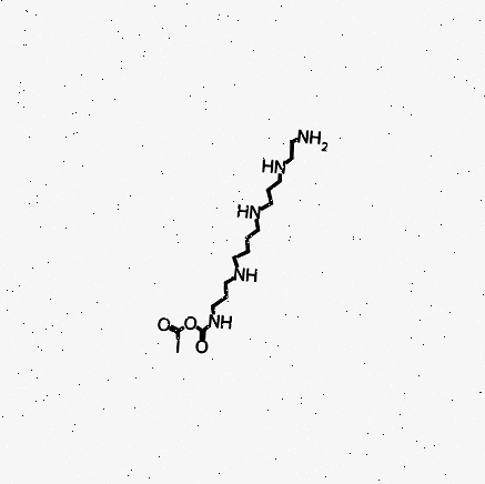 NCCNCCCNCCCCNCCCNC(=O)OC(=O)I